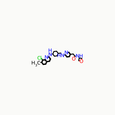 Cc1ccc2ccc(NC3CCC(CNc4ccc(CC(=O)NC5COC5)cn4)CC3)nc2c1Cl